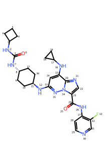 O=C(NC1CCC1)N[C@H]1CC[C@H](Nc2cc(NC3CC3)c3ncc(C(=O)Nc4ccncc4F)n3n2)CC1